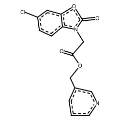 O=C(Cn1c(=O)oc2cc(Cl)ccc21)OCc1cccnc1